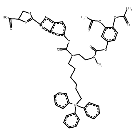 CC(=O)Oc1ccc(OC(=O)N(C)CCN(CCCCCC[PH](c2ccccc2)(c2ccccc2)c2ccccc2)C(=O)Oc2ccc3nc(C4=NC(C(=O)O)CS4)sc3c2)cc1OC(C)=O